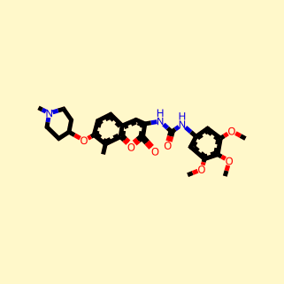 COc1cc(NC(=O)Nc2cc3ccc(OC4CCN(C)CC4)c(C)c3oc2=O)cc(OC)c1OC